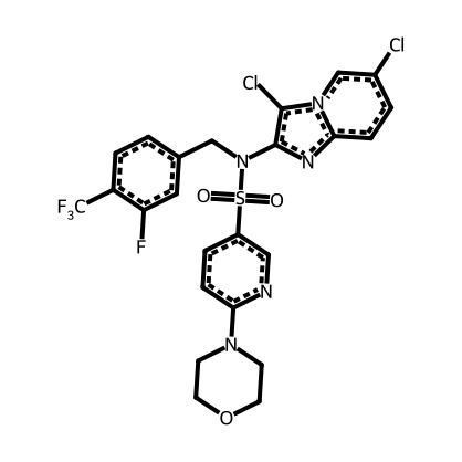 O=S(=O)(c1ccc(N2CCOCC2)nc1)N(Cc1ccc(C(F)(F)F)c(F)c1)c1nc2ccc(Cl)cn2c1Cl